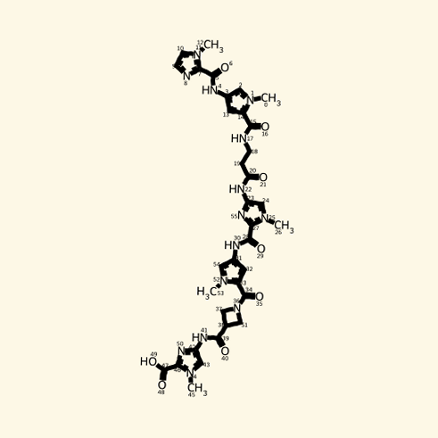 Cn1cc(NC(=O)c2nccn2C)cc1C(=O)NCCC(=O)Nc1cn(C)c(C(=O)Nc2cc(C(=O)N3CC(C(=O)Nc4cn(C)c(C(=O)O)n4)C3)n(C)c2)n1